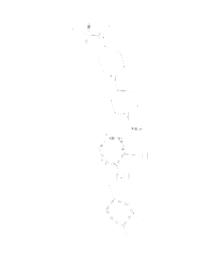 Cc1c(NCc2ccc(F)c(Cl)c2)ncnc1C(=O)N1CCC(N2CCC(N(C)S(C)(=O)=O)CC2)CC1